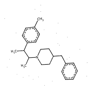 Cc1ccc(C(C)C(C)N2CCC(Cc3ccccc3)CC2)cc1